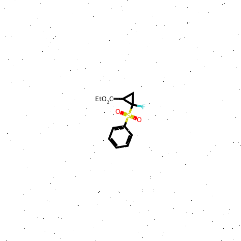 CCOC(=O)C1CC1(F)S(=O)(=O)c1ccccc1